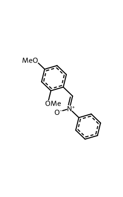 COc1ccc(C=[N+]([O-])c2ccccc2)c(OC)c1